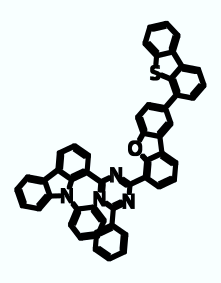 c1ccc(-c2nc(-c3cccc4c3oc3ccc(-c5cccc6c5sc5ccccc56)cc34)nc(-c3cccc4c5ccccc5n(-c5ccccc5)c34)n2)cc1